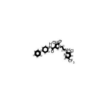 O=C(N[C@H]1CC[C@@H](c2ccccc2)CC1)C1=C(O)C(=O)N(CCNc2ncc(C(F)(F)F)cc2Cl)C1